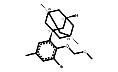 COCOc1c(Br)cc(C)cc1[C@@]12C[C@@H]3C[C@@](C)(C[C@@](C)(C3)C1)C2